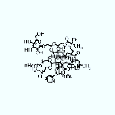 CCCCCCCSSCCNC(=O)C(C)(BCC(C)(CC(C)(CC(C)(CCC)C(=O)O)C(=O)OCCCC)C(=O)OCCN(C)C)CC(C)(CC(C)(CBC(C)(CC)C(=O)OCCOCCO[C@@H]1O[C@H](CO)[C@H](O)[C@H](O)[C@H]1O)C(=O)NC[C@@H](C)O)C(=O)OCCSSc1ccccn1